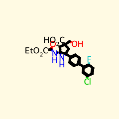 CCOC(=O)C(=O)N[C@@]12C[C@@](CO)(C(=O)O)CC1(c1ccc(-c3cc(Cl)ccc3F)cc1)N2